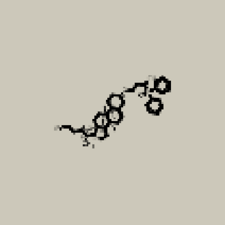 CC(C)CCC[C@@H](C)[C@H]1CC[C@H]2[C@@H]3CC=C4C[C@@H](OCCC(C)P(=O)(c5ccccc5)c5ccccc5)CC[C@]4(C)[C@H]3CC[C@]12C